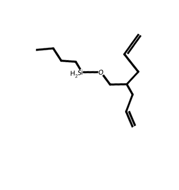 C=CCC(CC=C)CO[SiH2]CCCC